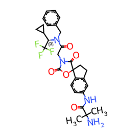 CC(C)(N)C(=O)Nc1ccc2c(c1)CCC21OC(=O)N(CC(=O)N(Cc2ccccc2)[C@H](C2CC2)C(F)(F)F)C1=O